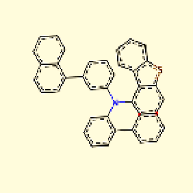 c1ccc(-c2ccccc2N(c2cccc(-c3cccc4ccccc34)c2)c2cccc3sc4ccccc4c23)cc1